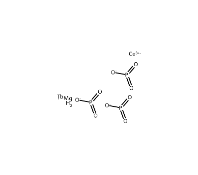 O=P(=O)[O-].O=P(=O)[O-].O=P(=O)[O-].[Ce+3].[MgH2].[Tb]